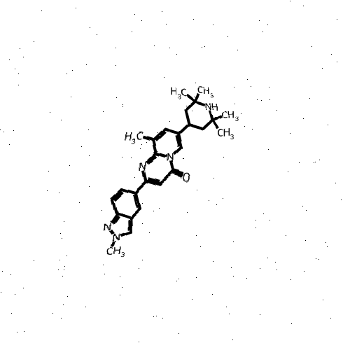 Cc1cc(C2CC(C)(C)NC(C)(C)C2)cn2c(=O)cc(-c3ccc4nn(C)cc4c3)nc12